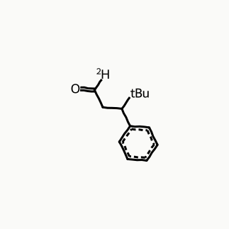 [2H]C(=O)CC(c1ccccc1)C(C)(C)C